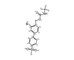 CC(C)(C)NC(=O)OCc1ccc(-c2ccc(S(C)(=O)=O)cc2)cc1Br